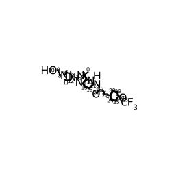 Cc1nc(N2CCN(CCO)CC2)nc2ccc(NC(=O)/C=C/c3ccc(OC(F)(F)F)cc3)nc12